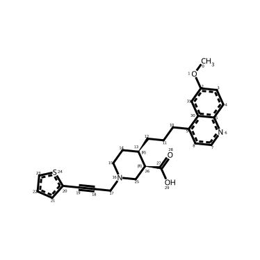 COc1ccc2nccc(CCC[C@@H]3CCN(CC#Cc4cccs4)C[C@@H]3C(=O)O)c2c1